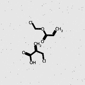 C=C(CCl)C(=O)O.C=CC(=O)OCCl